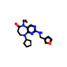 CN1C(=O)CCN(C2CCCC2)c2nc(NCc3ccoc3)ncc21